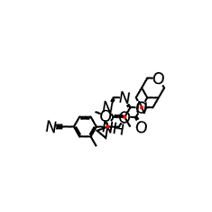 COC1(COC(=O)N2CC3COCC(C2)C3Oc2ncnc(Nc3ccc(C#N)cc3C)c2C)CC1